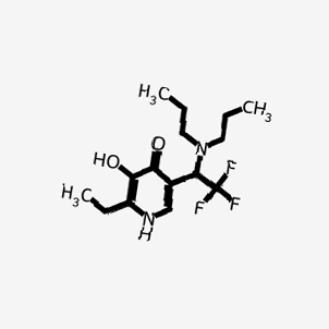 CCCN(CCC)C(c1c[nH]c(CC)c(O)c1=O)C(F)(F)F